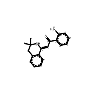 CC1(C)Cc2ccccc2C(=CC(=O)c2ccccc2N)N1